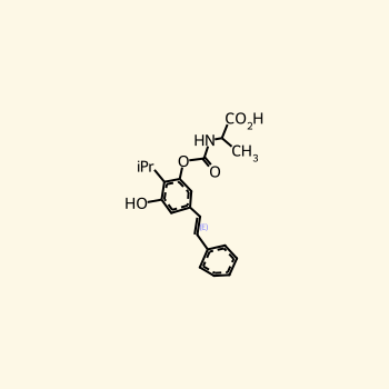 CC(NC(=O)Oc1cc(/C=C/c2ccccc2)cc(O)c1C(C)C)C(=O)O